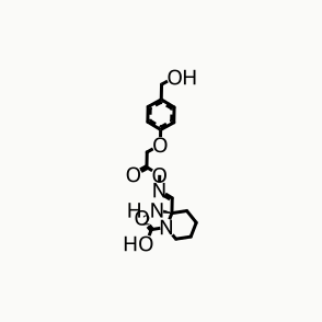 N[C@@]1(C=NOC(=O)COc2ccc(CO)cc2)CCCCN1C(=O)O